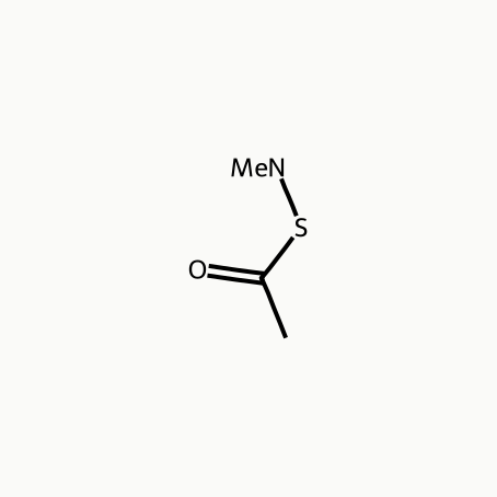 CNSC(C)=O